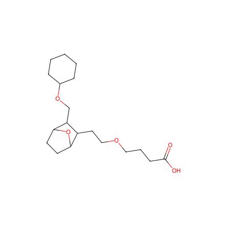 O=C(O)CCCOCCC1C2CCC(O2)C1COC1CCCCC1